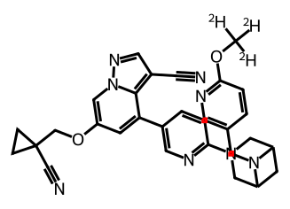 [2H]C([2H])([2H])Oc1ccc(CN2C3CC2CN(c2ccc(-c4cc(OCC5(C#N)CC5)cn5ncc(C#N)c45)cn2)C3)cn1